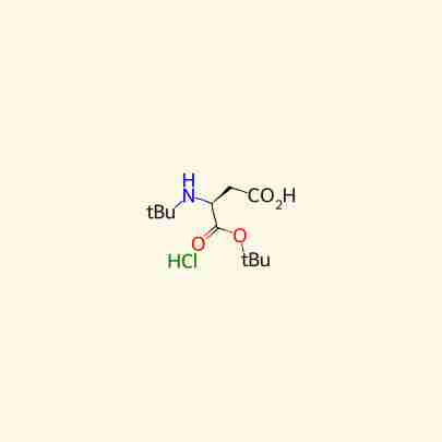 CC(C)(C)N[C@@H](CC(=O)O)C(=O)OC(C)(C)C.Cl